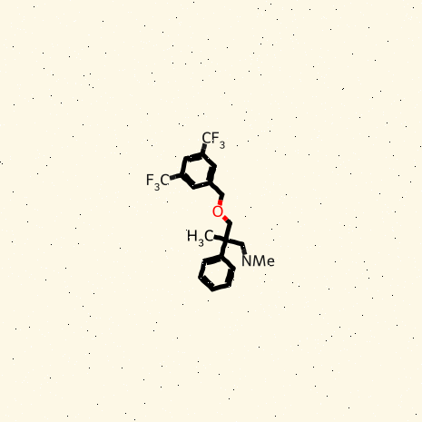 CNCC(C)(COCc1cc(C(F)(F)F)cc(C(F)(F)F)c1)c1ccccc1